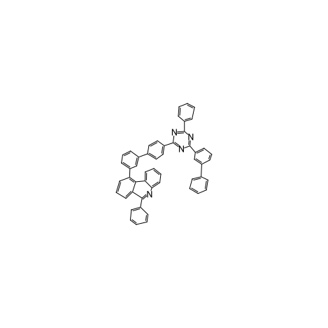 c1ccc(-c2cccc(-c3nc(-c4ccccc4)nc(-c4ccc(-c5cccc(-c6cccc7c(-c8ccccc8)nc8ccccc8c67)c5)cc4)n3)c2)cc1